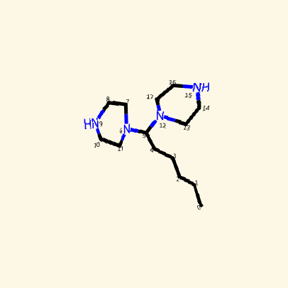 CCCCCC(N1CCNCC1)N1CCNCC1